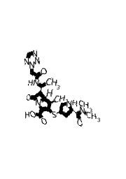 CC(NC(=O)Cn1ncnn1)[C@H]1C(=O)N2C(C(=O)O)=C(S[C@@H]3CN[C@H](C(=O)N(C)C)C3)[C@H](C)[C@H]12